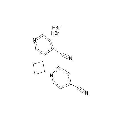 Br.Br.C1CCC1.N#Cc1ccncc1.N#Cc1ccncc1